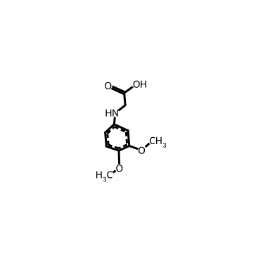 COc1ccc(NCC(=O)O)cc1OC